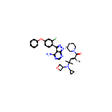 CC(C)(C=C(C#N)C(=O)N1CCC[C@@H](n2nc(-c3ccc(Oc4ccccc4)cc3F)c3c(N)ncnc32)C1)N(C1CC1)C1COC1